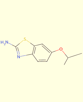 CC(C)Oc1ccc2nc(N)sc2c1